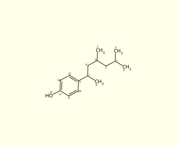 CC(C)CC(C)CC(C)c1ccc(O)cc1